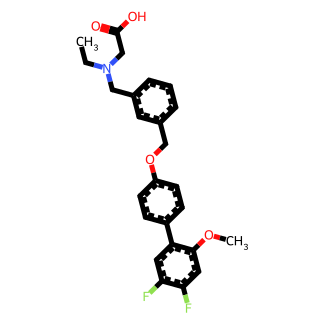 CCN(CC(=O)O)Cc1cccc(COc2ccc(-c3cc(F)c(F)cc3OC)cc2)c1